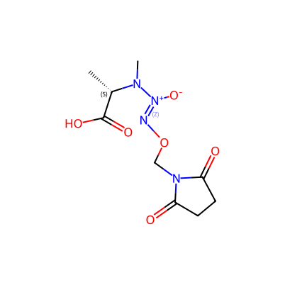 C[C@@H](C(=O)O)N(C)/[N+]([O-])=N/OCN1C(=O)CCC1=O